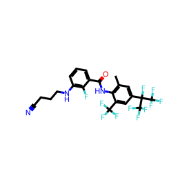 Cc1cc(C(F)(C(F)(F)F)C(F)(F)F)cc(C(F)(F)F)c1NC(=O)c1cccc(NCCCC#N)c1F